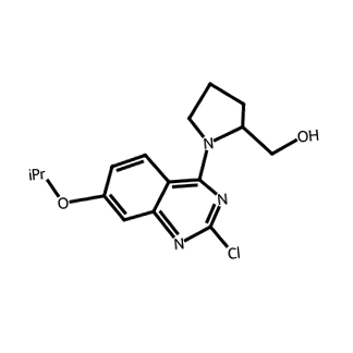 CC(C)Oc1ccc2c(N3CCCC3CO)nc(Cl)nc2c1